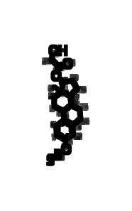 C[C@]12CCC3c4ccc(OB=S)cc4CCC3C1CC[C@@H]2OC(=O)CO